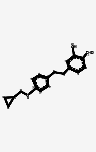 O=Cc1ccc(CCc2ccc(OCC3CC3)cc2)cc1O